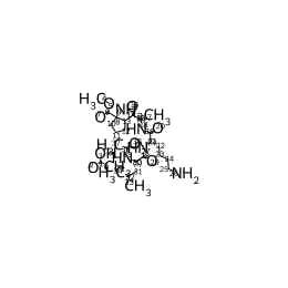 CC(=O)O.COC(=O)C1(N)CCCC1C(=O)[C@H](C)NC(=O)[C@H](CCCCN)NC(=O)[C@H](CC(C)C)NC(C)=O